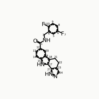 O=C(NCc1cc(F)ccc1F)c1ccc2[nH]c3c(c2c1)CCc1cn[nH]c1-3